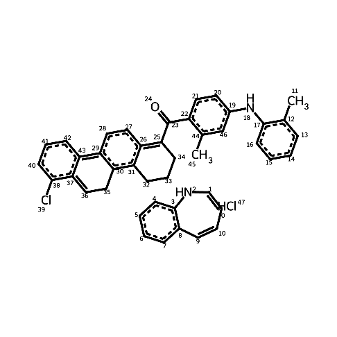 C1=CNc2ccccc2C=C1.Cc1ccccc1Nc1ccc(C(=O)C2=c3ccc4c(c3CCC2)CC=c2c(Cl)cccc2=4)c(C)c1.Cl